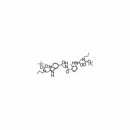 CCCN(CC(=O)Nc1cccc(C(=O)NCC(=O)c2ccc3nc(CN(CCC)C(=O)OC(C)(C)C)[nH]c3c2)c1C)C(=O)OC(C)(C)C